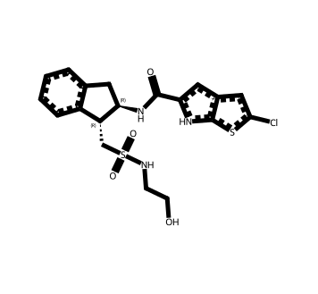 O=C(N[C@@H]1Cc2ccccc2[C@H]1CS(=O)(=O)NCCO)c1cc2cc(Cl)sc2[nH]1